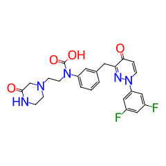 O=C1CN(CCN(C(=O)O)c2cccc(Cc3nn(-c4cc(F)cc(F)c4)ccc3=O)c2)CCN1